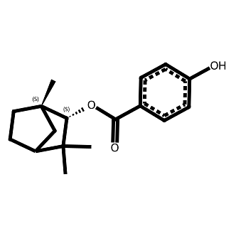 CC1(C)C2CC[C@@](C)(C2)[C@@H]1OC(=O)c1ccc(O)cc1